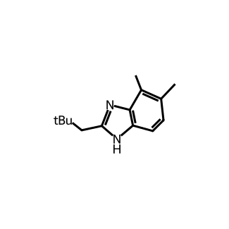 Cc1ccc2[nH]c(CC(C)(C)C)nc2c1C